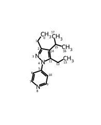 CCc1nn(-c2ccncc2)c(CC)c1C(C)C